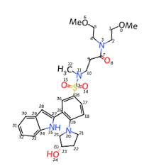 COCCN(CCOC)C(=O)CCN(C)S(=O)(=O)c1ccc(N2CC[C@H](O)C2)c(-c2cc3ccccc3[nH]2)c1